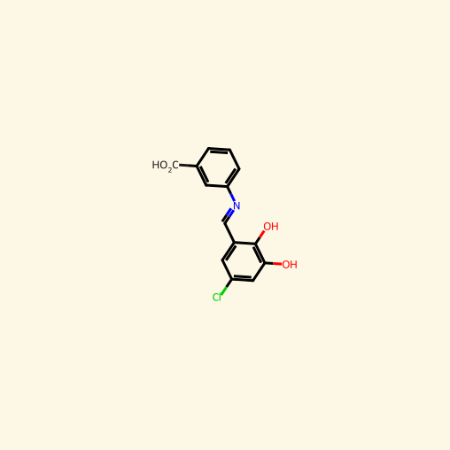 O=C(O)c1cccc(N=Cc2cc(Cl)cc(O)c2O)c1